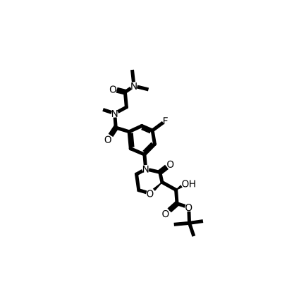 CN(C)C(=O)CN(C)C(=O)c1cc(F)cc(N2CCO[C@H]([C@@H](O)C(=O)OC(C)(C)C)C2=O)c1